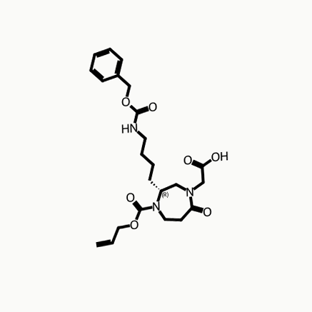 C=CCOC(=O)N1CCC(=O)N(CC(=O)O)C[C@H]1CCCCNC(=O)OCc1ccccc1